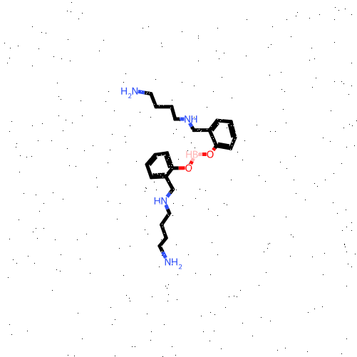 NCCCCNCc1ccccc1OBOc1ccccc1CNCCCCN